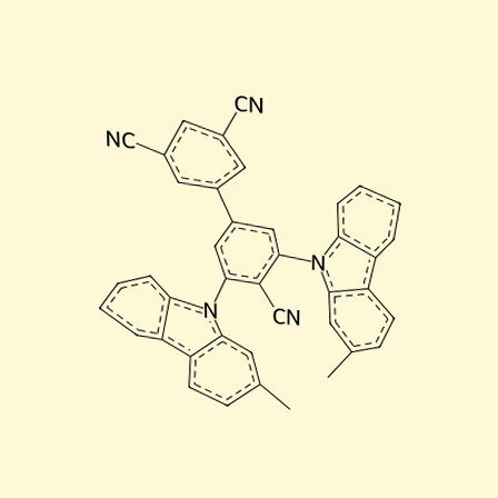 Cc1ccc2c3ccccc3n(-c3cc(-c4cc(C#N)cc(C#N)c4)cc(-n4c5ccccc5c5ccc(C)cc54)c3C#N)c2c1